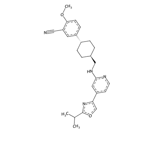 COc1ccc([C@H]2CC[C@H](CNc3cc(-c4coc(C(C)C)n4)ccn3)CC2)cc1C#N